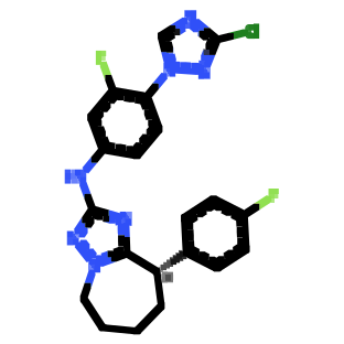 Fc1ccc([C@@H]2CCCCn3nc(Nc4ccc(-n5cnc(Cl)n5)c(F)c4)nc32)cc1